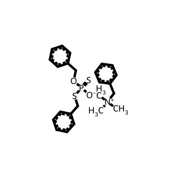 C[N+](C)(C)Cc1ccccc1.[O-]P(=S)(OCc1ccccc1)SCc1ccccc1